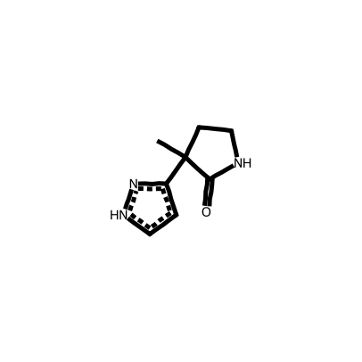 CC1(c2cc[nH]n2)CCNC1=O